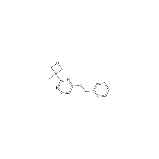 CC1(c2nccc(OCc3ccccc3)n2)COC1